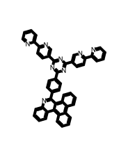 c1ccc(-c2ccc(-c3nc(-c4ccc(-c5nc6ccccc6c6c7ccccc7c7ccccc7c56)cc4)nc(-c4ccc(-c5ccccn5)nc4)n3)cn2)nc1